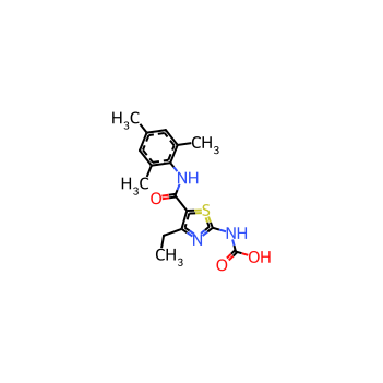 CCc1nc(NC(=O)O)sc1C(=O)Nc1c(C)cc(C)cc1C